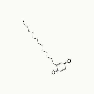 CCCCCCCCCCCCCCC1=CC(=O)C=CC1=O